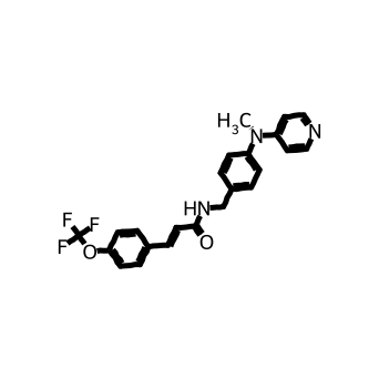 CN(c1ccncc1)c1ccc(CNC(=O)C=Cc2ccc(OC(F)(F)F)cc2)cc1